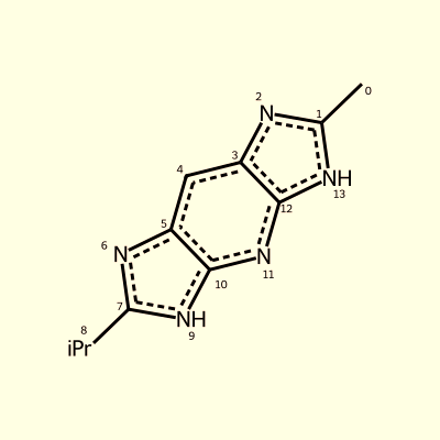 Cc1nc2cc3nc(C(C)C)[nH]c3nc2[nH]1